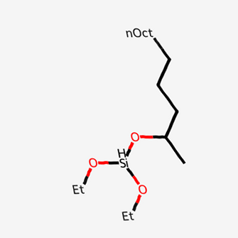 CCCCCCCCCCCC(C)O[SiH](OCC)OCC